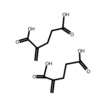 C=C(CCC(=O)O)C(=O)O.C=C(CCC(=O)O)C(=O)O